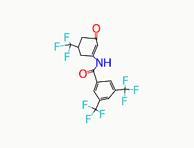 O=C1C=C(NC(=O)c2cc(C(F)(F)F)cc(C(F)(F)F)c2)CC(C(F)(F)F)C1